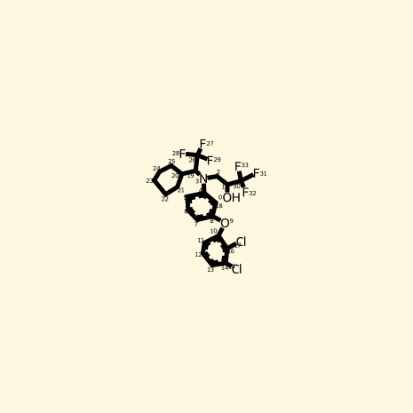 OC(CN(c1cccc(Oc2cccc(Cl)c2Cl)c1)C(C1CCCCC1)C(F)(F)F)C(F)(F)F